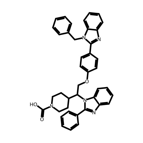 O=C(O)N1CCC(C(COc2ccc(-c3nc4ccccc4n3Cc3ccccc3)cc2)n2c(-c3ccccc3)nc3ccccc32)CC1